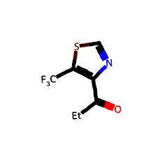 CCC(=O)c1ncsc1C(F)(F)F